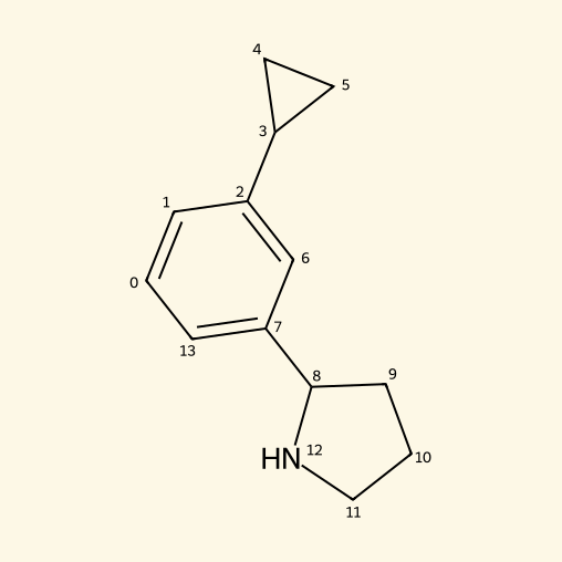 c1cc(C2CC2)cc(C2CCCN2)c1